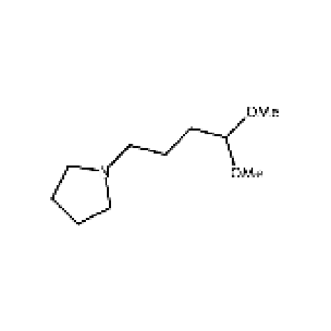 COC(CCCN1CCCC1)OC